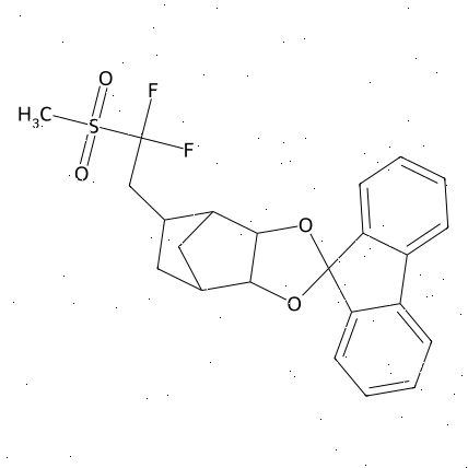 CS(=O)(=O)C(F)(F)CC1CC2CC1C1OC3(OC21)c1ccccc1-c1ccccc13